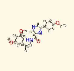 CCOc1ccc(-c2cncc(C(=O)NC[C@@H](C)c3cc(OC)cc(OC)c3)n2)cc1